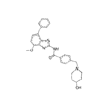 COc1ccc(-c2ccccc2)c2sc(NC(=O)c3ccc(CN4CCC(O)CC4)cc3)nc12